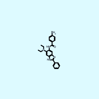 Bc1ccc(C(=O)Nc2cc3nc(-c4ccccc4)[nH]c3cc2N(CC)CC)cc1